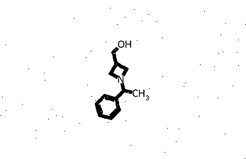 CC(c1ccccc1)N1CC(CO)C1